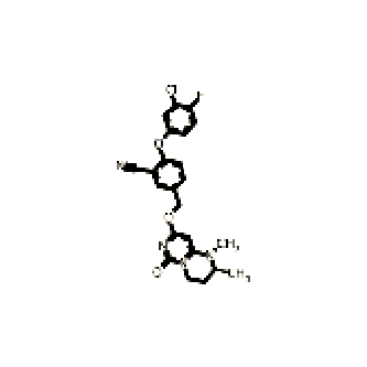 C[C@H]1CCn2c(cc(OCc3ccc(Oc4ccc(F)c(Cl)c4)c(C#N)c3)nc2=O)N1C